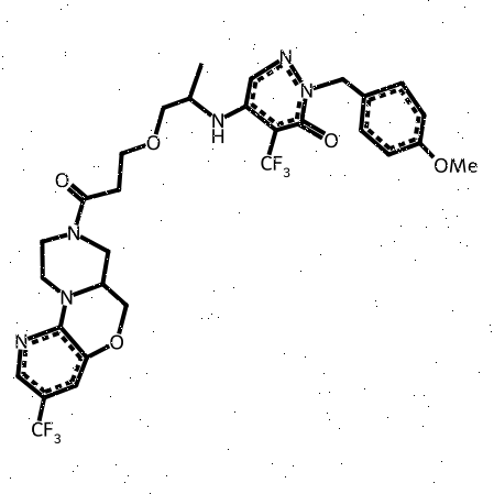 COc1ccc(Cn2ncc(NC(C)COCCC(=O)N3CCN4c5ncc(C(F)(F)F)cc5OCC4C3)c(C(F)(F)F)c2=O)cc1